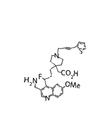 COc1ccc2ncc(CN)c(C(F)CCC3(CC(=O)O)CCN(CC#Cc4cccs4)CC3)c2c1